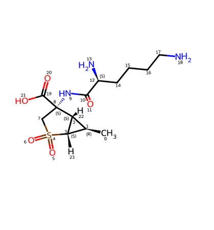 C[C@@H]1[C@@H]2[C@H]1S(=O)(=O)C[C@@]2(NC(=O)[C@@H](N)CCCCN)C(=O)O